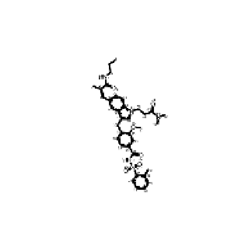 CCCNC(=O)C(C)=Cc1ccc2c(c1)c(Cc1ccc(C(=O)NS(=O)(=O)c3ccccc3C)cc1OC)cn2CCC(=O)N(C)C